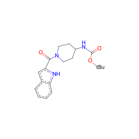 CC(C)(C)OC(=O)NC1CCN(C(=O)c2cc3ccccc3[nH]2)CC1